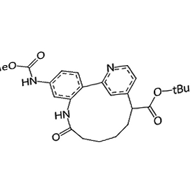 COC(=O)Nc1ccc2c(c1)NC(=O)CCCCC(C(=O)OC(C)(C)C)c1ccnc-2c1